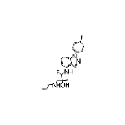 CCCNCC(C)(O)C(F)Nc1cccc2c1cnn2-c1ccc(F)cc1